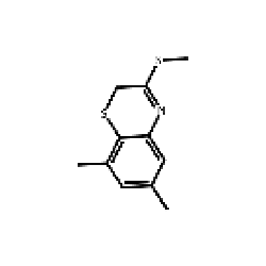 CSC1=Nc2cc(C)cc(C)c2SC1